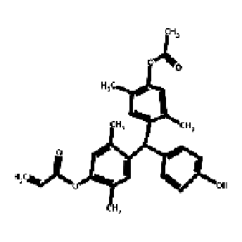 C=CC(=O)Oc1cc(C)c(C(c2ccc(O)cc2)c2cc(C)c(OC(C)=O)cc2C)cc1C